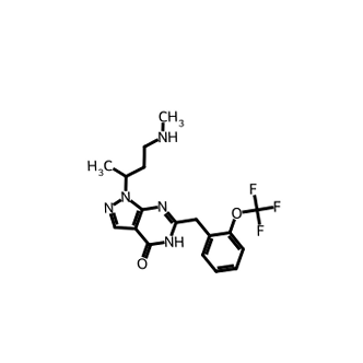 CNCCC(C)n1ncc2c(=O)[nH]c(Cc3ccccc3OC(F)(F)F)nc21